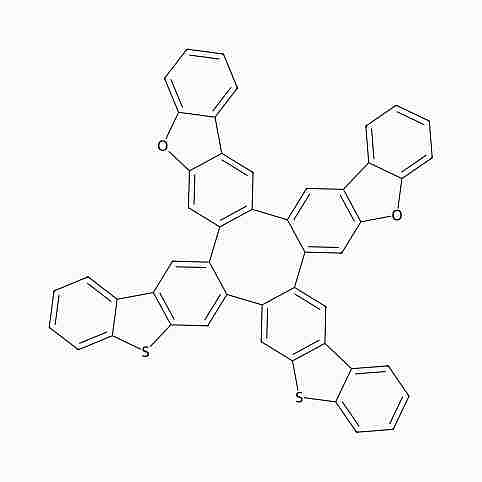 c1ccc2c(c1)oc1cc3c(cc12)-c1cc2c(cc1-c1cc4c(cc1-c1cc5sc6ccccc6c5cc1-3)sc1ccccc14)oc1ccccc12